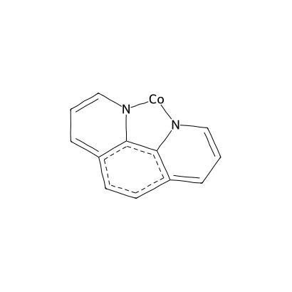 C1=C[N]2[Co][N]3C=CC=c4ccc(c2c43)=C1